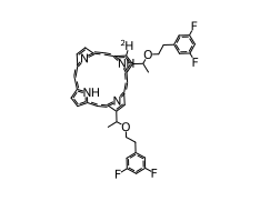 [2H]c1c(C(C)OCCc2cc(F)cc(F)c2)c2cc3nc(cc4ccc(cc5nc(cc1[nH]2)C=C5)[nH]4)C(C(C)OCCc1cc(F)cc(F)c1)=C3